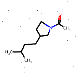 CC(=O)N1CCC(CCC(C)C)C1